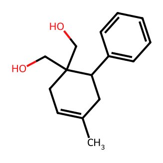 CC1=CCC(CO)(CO)C(c2ccccc2)C1